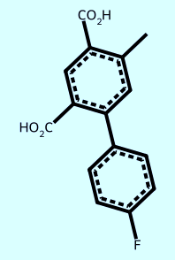 Cc1cc(-c2ccc(F)cc2)c(C(=O)O)cc1C(=O)O